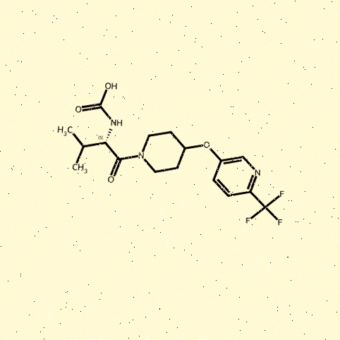 CC(C)[C@H](NC(=O)O)C(=O)N1CCC(Oc2ccc(C(F)(F)F)nc2)CC1